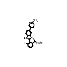 CNC(=O)c1cccc(F)c1-c1nc2cc(-c3cnc(N)nc3)ccc2[nH]1